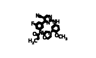 C=CC(=O)Nc1cc(F)cc(-c2nc(NC3=CC(N4CCOCC4)=C(OC)CC3)ncc2C#N)c1